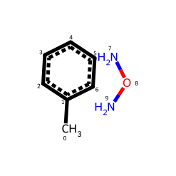 Cc1ccccc1.NON